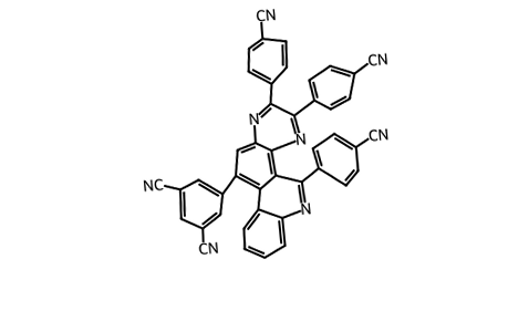 N#Cc1ccc(-c2nc3cc(-c4cc(C#N)cc(C#N)c4)c4c5ccccc5nc(-c5ccc(C#N)cc5)c4c3nc2-c2ccc(C#N)cc2)cc1